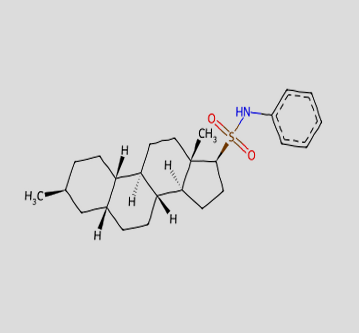 C[C@H]1CC[C@H]2[C@H](CC[C@@H]3[C@@H]2CC[C@@]2(C)[C@H]3CC[C@@H]2S(=O)(=O)Nc2ccccc2)C1